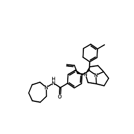 C=CCN1CCC2CCC(C1)N2C(C1=CC(C)=CCC1)c1ccc(C(=O)NN2CCCCCC2)cc1